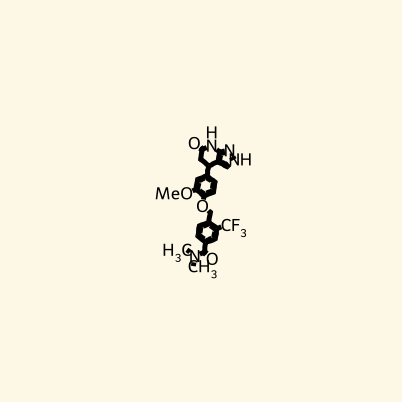 COc1cc(C2CC(=O)Nc3n[nH]cc32)ccc1OCc1ccc(C(=O)N(C)C)cc1C(F)(F)F